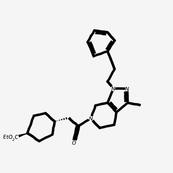 CCOC(=O)[C@H]1CC[C@H](CC(=O)N2CCc3c(C)nn(CCc4ccccc4)c3C2)CC1